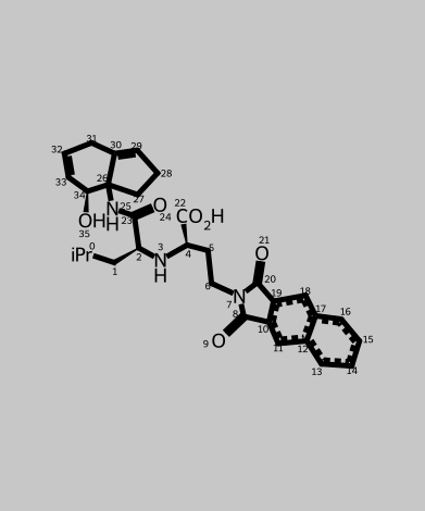 CC(C)C[C@H](N[C@H](CCN1C(=O)c2cc3ccccc3cc2C1=O)C(=O)O)C(=O)NC12CCC=C1CC=C[C@@H]2O